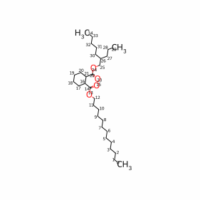 CCCCCCCCCCCCCOC(=O)C1CCCCC1C(=O)OCC(CCC)CCCCC